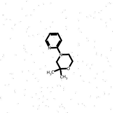 CC1(C)CN(c2cc[c]cn2)CCO1